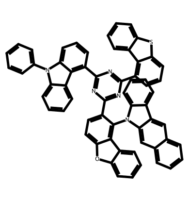 c1ccc(-n2c3ccccc3c3c(-c4nc(-c5ccc6oc7ccccc7c6c5-n5c6ccccc6c6cc7ccccc7cc65)nc(-c5cccc6sc7ccccc7c56)n4)cccc32)cc1